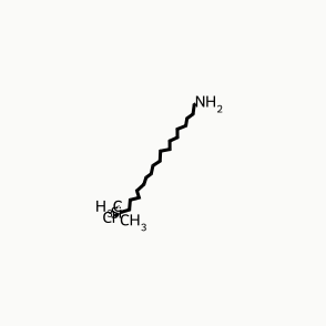 C[Si](C)(Cl)CCCCCCCCCCCCCCCCCCN